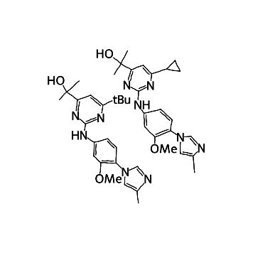 COc1cc(Nc2nc(C(C)(C)C)cc(C(C)(C)O)n2)ccc1-n1cnc(C)c1.COc1cc(Nc2nc(C3CC3)cc(C(C)(C)O)n2)ccc1-n1cnc(C)c1